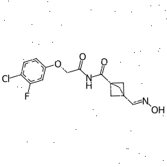 O=C(COc1ccc(Cl)c(F)c1)NC(=O)C12CC(/C=N/O)(C1)C2